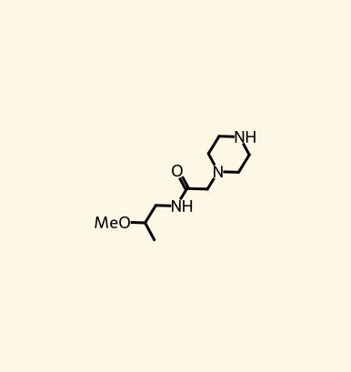 COC(C)CNC(=O)CN1CCNCC1